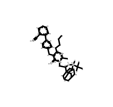 CCCCc1nc(C)n(CC(O[Si](C)(C)C(C)(C)C)C23CC4CC(CC(C4)C2)C3)c(=O)c1Cc1ccc(-c2ccccc2C#N)cc1